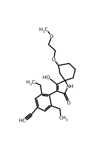 C#Cc1cc(CC)c(C2=C(O)C3(CCCC(OCCOC)C3)NC2=O)c(CC)c1